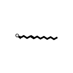 CCCCCCC/C=C/CC[C]=O